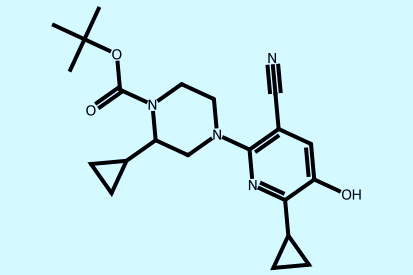 CC(C)(C)OC(=O)N1CCN(c2nc(C3CC3)c(O)cc2C#N)CC1C1CC1